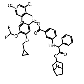 CN1C2CCC1CC(OC(=O)C(Nc1cccc(C(=O)O[C@@H](Cc3c(Cl)c[n+]([O-])cc3Cl)c3ccc(OC(F)F)c(OCC4CC4)c3)c1)c1ccccc1)C2